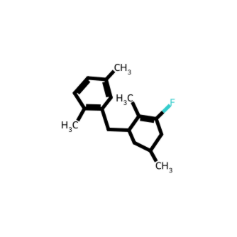 CC1=C(F)CC(C)CC1Cc1cc(C)ccc1C